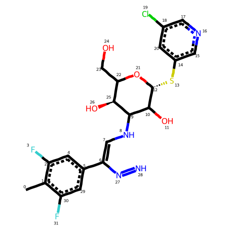 Cc1c(F)cc(/C(=C/NC2C(O)[C@@H](Sc3cncc(Cl)c3)OC(CO)[C@@H]2O)N=N)cc1F